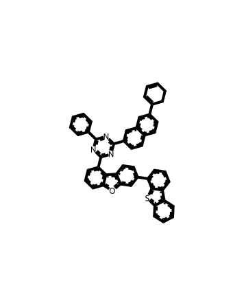 C1=CCCC(c2ccc3ccc(-c4nc(-c5ccccc5)nc(-c5cccc6oc7cc(-c8cccc9c8sc8ccccc89)ccc7c56)n4)cc3c2)=C1